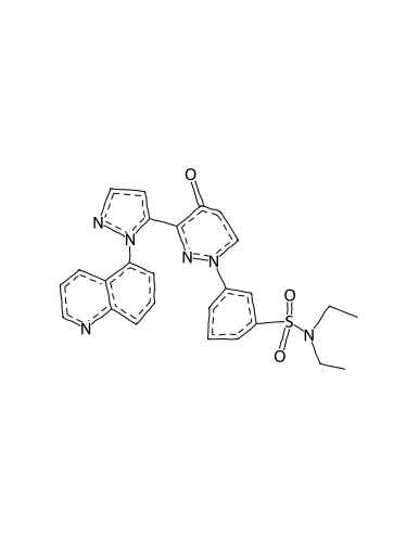 CCN(CC)S(=O)(=O)c1cccc(-n2ccc(=O)c(-c3ccnn3-c3cccc4ncccc34)n2)c1